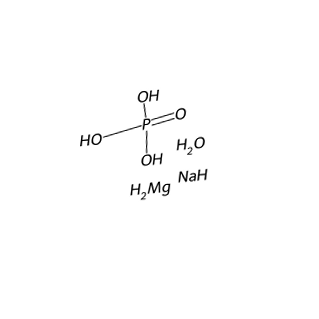 O.O=P(O)(O)O.[MgH2].[NaH]